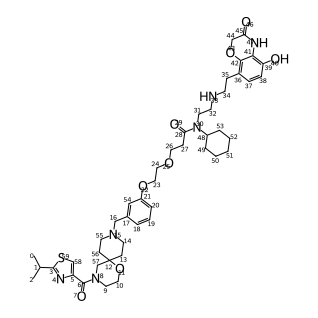 CC(C)c1nc(C(=O)N2CCOC3(CCN(Cc4cccc(OCCOCCC(=O)N(CCNCCc5ccc(O)c6c5OCC(=O)N6)C5CCCCC5)c4)CC3)C2)cs1